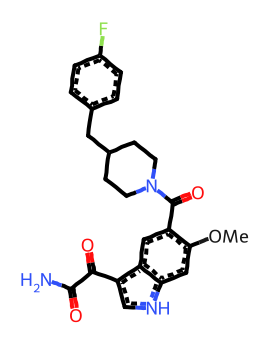 COc1cc2[nH]cc(C(=O)C(N)=O)c2cc1C(=O)N1CCC(Cc2ccc(F)cc2)CC1